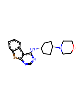 c1ccc2c(c1)sc1ncnc(N[C@H]3CC[C@H](N4CCOCC4)CC3)c12